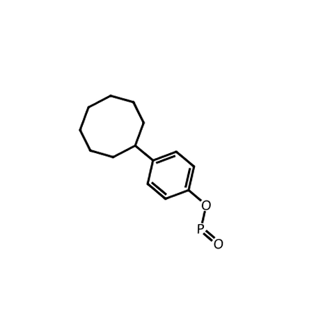 O=POc1ccc(C2CCCCCCC2)cc1